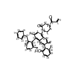 C=CC(=O)N1CCN(c2cc(F)c(-c3c(C)ccnc3Cc3ccccc3)c3nc(-c4c(O)cccc4F)c(F)cc23)C(=O)C1